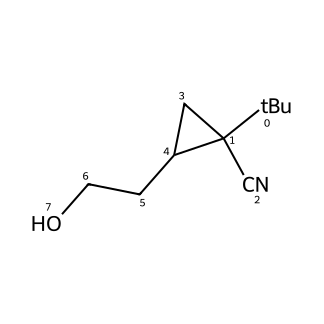 CC(C)(C)C1(C#N)CC1CCO